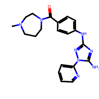 CN1CCCN(C(=O)c2ccc(Nc3nc(N)n(-c4ccccn4)n3)cc2)CC1